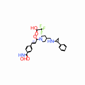 O=C(NO)c1ccc(/C=C/C(=O)N2CCC(CNC3CC3c3ccccc3)CC2)cc1.O=C(O)C(F)(F)F